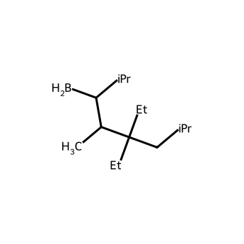 BC(C(C)C)C(C)C(CC)(CC)CC(C)C